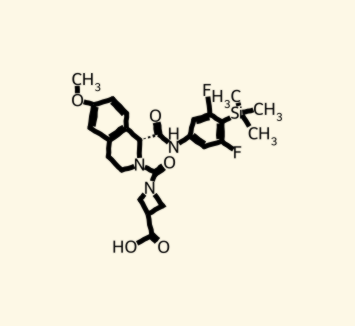 COc1ccc2c(c1)CCN(C(=O)N1CC(C(=O)O)C1)[C@H]2C(=O)Nc1cc(F)c([Si](C)(C)C)c(F)c1